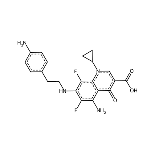 Nc1ccc(CCNc2c(F)c(N)c3c(=O)c(C(=O)O)cn(C4CC4)c3c2F)cc1